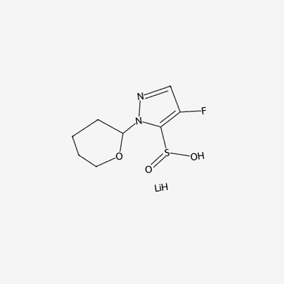 O=S(O)c1c(F)cnn1C1CCCCO1.[LiH]